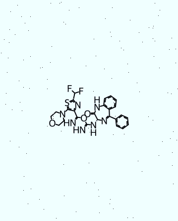 N=C(N[C@H]1N=C(c2ccccc2)c2ccccc2NC1=O)OC(=N)c1nc(C(F)F)sc1N1CCOCC1